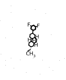 CCC[C@@H]1CC[C@H]2[C@H](CC[C@H]3CC(c4cc(F)cc(F)c4)CC[C@@H]32)C1